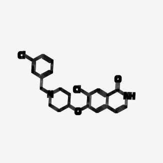 O=c1[nH]ccc2cc(OC3CCN(Cc4cccc(Cl)c4)CC3)c(Cl)cc12